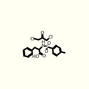 Cc1ccc(S(=O)(=O)NC(Cc2ccccc2)C(=O)O)cc1.O=C(CCl)CCl